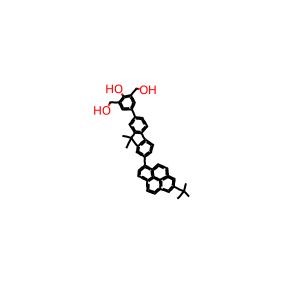 CC(C)(C)c1cc2ccc3ccc(-c4ccc5c(c4)C(C)(C)c4cc(-c6cc(CO)c(O)c(CO)c6)ccc4-5)c4ccc(c1)c2c34